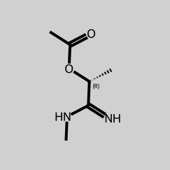 CNC(=N)[C@@H](C)OC(C)=O